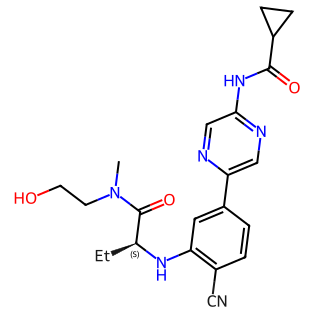 CC[C@H](Nc1cc(-c2cnc(NC(=O)C3CC3)cn2)ccc1C#N)C(=O)N(C)CCO